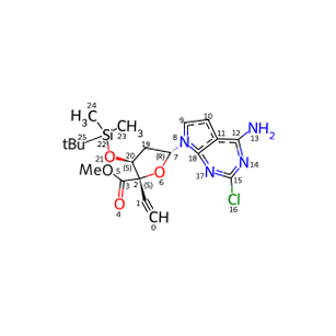 C#C[C@]1(C(=O)OC)O[C@@H](n2ccc3c(N)nc(Cl)nc32)C[C@@H]1O[Si](C)(C)C(C)(C)C